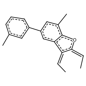 C/C=c1\c(=C/C)oc2c(C)cc(-c3cccc(C)c3)cc12